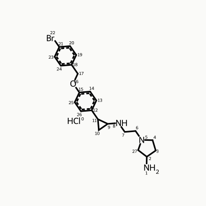 Cl.NC1CCN(CCNC2CC2c2ccc(OCc3ccc(Br)cc3)cc2)C1